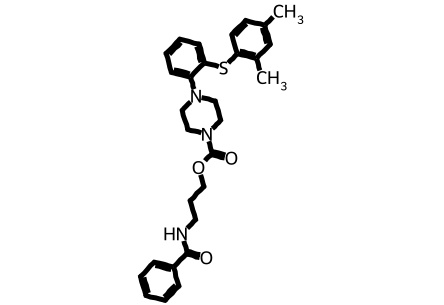 Cc1ccc(Sc2ccccc2N2CCN(C(=O)OCCCNC(=O)c3ccccc3)CC2)c(C)c1